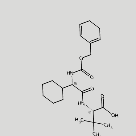 CC(C)(C)[C@H](NC(=O)[C@@H](NC(=O)OCC1=CCCC=C1)C1CCCCC1)C(=O)O